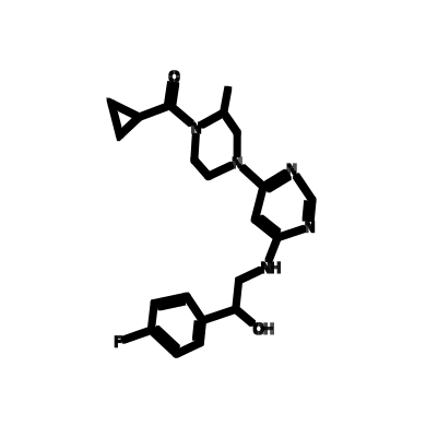 CC1CN(c2cc(NCC(O)c3ccc(F)cc3)ncn2)CCN1C(=O)C1CC1